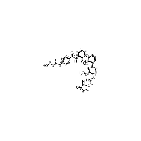 COc1nc(-c2ccnc(-c3cccc(NC(=O)c4cnc(CNCCO)cn4)c3C)c2Cl)cnc1CNC[C@@H]1CCC(=O)N1